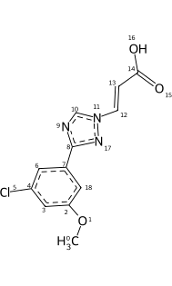 COc1cc(Cl)cc(-c2ncn(/C=C/C(=O)O)n2)c1